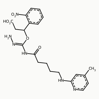 Cc1ccnc(NCCCCC(=O)NC(=NN)OC(CC(=O)O)c2ccccc2[N+](=O)[O-])c1